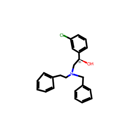 O[C@@H](CN(CCc1c[c]ccc1)Cc1ccccc1)c1cccc(Cl)c1